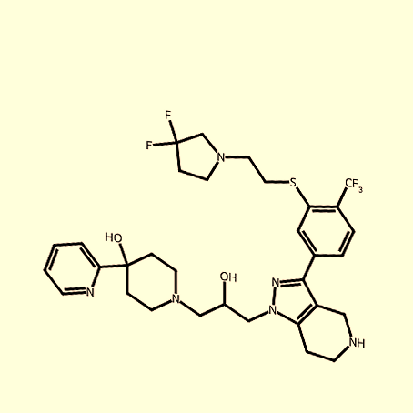 OC(CN1CCC(O)(c2ccccn2)CC1)Cn1nc(-c2ccc(C(F)(F)F)c(SCCN3CCC(F)(F)C3)c2)c2c1CCNC2